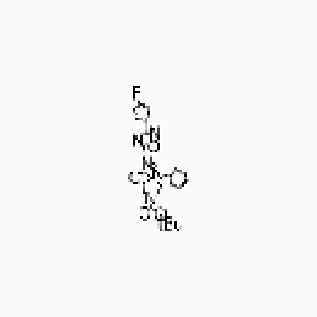 CC(C)(C)OC(=O)N1CCC2(CC1)C(=O)N(Cc1nc(-c3ccc(F)cc3)no1)CN2c1ccccc1